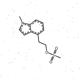 Cn1ccc2c(CCOS(C)(=O)=O)cccc21